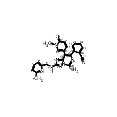 Cc1cccc(CNc2nc3c(-c4ccc(=O)n(C)c4)c(-c4ccccc4C#N)nc(N)n3n2)n1